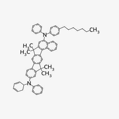 CCCCCCCc1ccc(N(c2ccccc2)c2cc3c(c4ccccc24)-c2cc4c(cc2C3(C)C)-c2ccc(N(c3ccccc3)C3C=CC=CC3)cc2C4(C)C)cc1